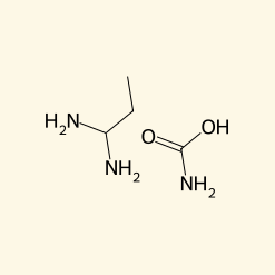 CCC(N)N.NC(=O)O